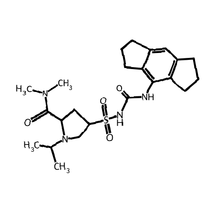 CC(C)N1CC(S(=O)(=O)NC(=O)Nc2c3c(cc4c2CCC4)CCC3)CC1C(=O)N(C)C